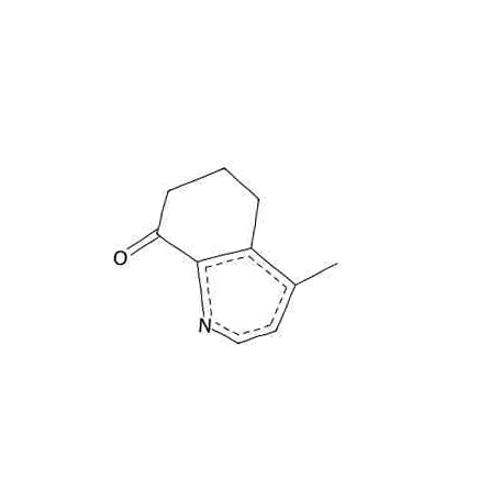 Cc1ccnc2c1CCCC2=O